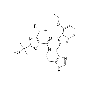 CCOc1cccc2cc(C3c4nc[nH]c4CCN3C(=O)c3oc(C(C)(C)O)nc3C(F)F)nn12